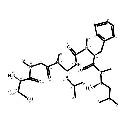 CC(C)C[C@@H](N)N(C)C(=O)[C@H](Cc1ccccc1)N(C)C(=O)N[C@H](CC(C)C)N(C)C(=O)CN(C)C(=O)[C@@H](N)[C@@H](C)O